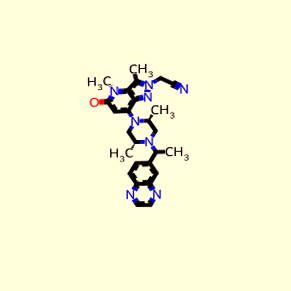 Cc1c2c(nn1CC#N)c(N1C[C@@H](C)N(C(C)c3ccc4nccnc4c3)C[C@@H]1C)cc(=O)n2C